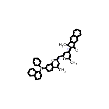 CC1=C/C(=C2\C(=O)c3cc4ccccc4cc3C2C)C=C(/C=C2\C=C(C)c3ccc(N(c4ccccc4)c4cccc5ccccc45)cc3O2)O1